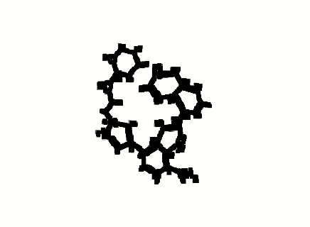 Nc1ncc(-c2cnn(CCOC3CCCCO3)c2)c2cc(-c3cccc4cnccc34)oc12